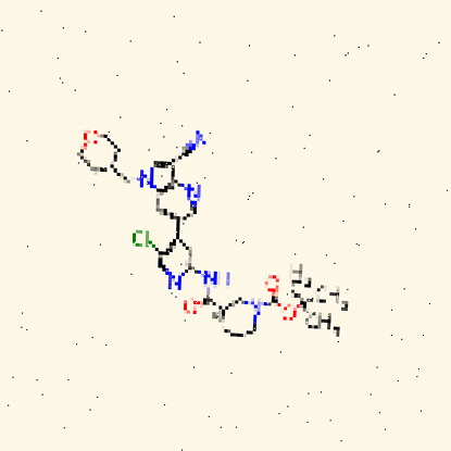 CC(C)(C)OC(=O)N1CCC[C@@H](C(=O)Nc2cc(-c3cnc4c(C#N)cn(CC5CCOCC5)c4c3)c(Cl)cn2)C1